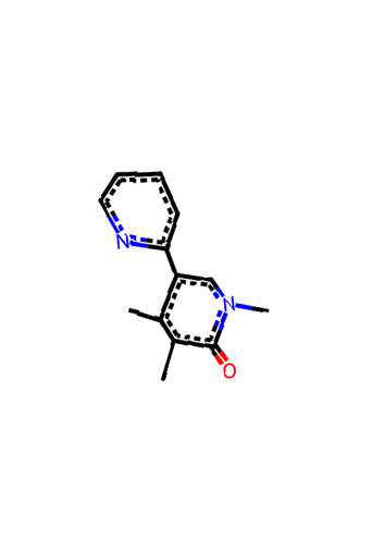 Cc1c(-c2ccccn2)cn(C)c(=O)c1C